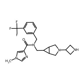 Cn1cnc(C(=O)N(Cc2cccc(C(F)(F)F)c2)CC2C3CN(C4CNC4)CC23)c1